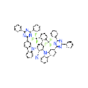 N#Cc1c(-n2c3ccccc3c3ccc(-c4nc(-c5ccccc5)nc(-c5ccccc5)n4)cc32)cc(-c2c(C(F)(F)F)cccc2C(F)(F)F)cc1-n1c2ccccc2c2ccc(-c3nc(-c4ccccc4)nc(-c4ccccc4)n3)cc21